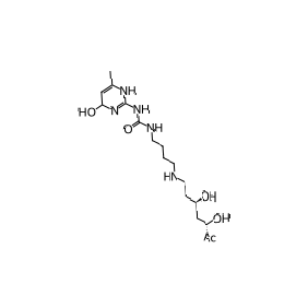 CC(=O)[C@@H](O)C[C@H](O)CCNCCCCNC(=O)NC1=NC(O)C=C(C)N1